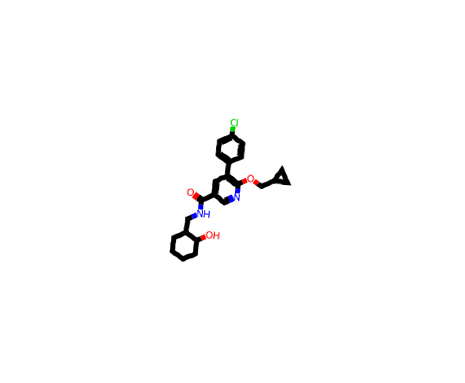 O=C(NCC1CCCCC1O)c1cnc(OCC2CC2)c(-c2ccc(Cl)cc2)c1